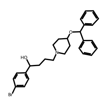 OC(CCCN1CCC(OC(c2ccccc2)c2ccccc2)CC1)c1ccc(Br)cc1